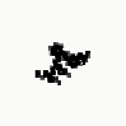 CO[C@H](CCN(C)C)COc1ccccc1CCc1cccc(OC(F)F)c1